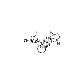 COc1cc(N2C[C@H]3CC[C@@H](C2)[C@@H]3Nc2nc3n(n2)CCCC[C@@H]3c2cc(F)cc(Cl)c2)cnn1